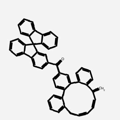 C=C1/C=C\C=C/Cc2ccccc2-c2ccc(C(=O)c3ccc4c(c3)C3(c5ccccc5-c5ccccc53)c3ccccc3-4)cc2-c2ccccc21